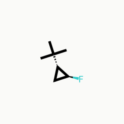 CC(C)(C)[C@H]1C[C@@H]1F